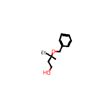 CCC(C)(CCO)OCc1ccccc1